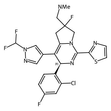 CNCC1(F)CC2=C(c3cnn(C(F)F)c3)[C@H](c3ccc(F)cc3Cl)N=C(c3nccs3)N2C1